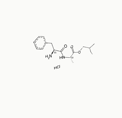 CC(C)COC(=O)[C@H](C)NC(=O)[C@@H](N)Cc1ccccc1.Cl